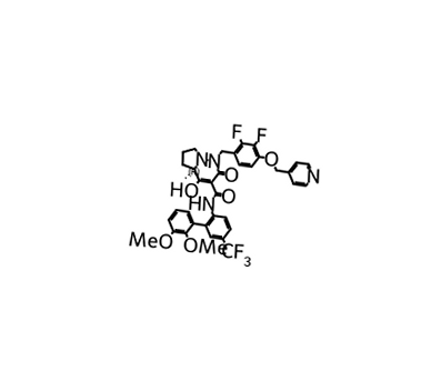 COc1cccc(-c2cc(C(F)(F)F)ccc2NC(=O)C2=C(O)[C@@]3(C)CCCN3N(Cc3ccc(OCc4ccncc4)c(F)c3F)C2=O)c1OC